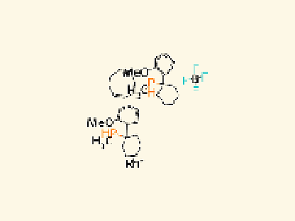 C1=C\CC/C=C\CC/1.COc1ccccc1C1(PC)CCCCC1.COc1ccccc1C1(PC)CCCCC1.F[B-](F)(F)F.[Rh+]